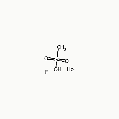 CS(=O)(=O)O.[F].[Ho]